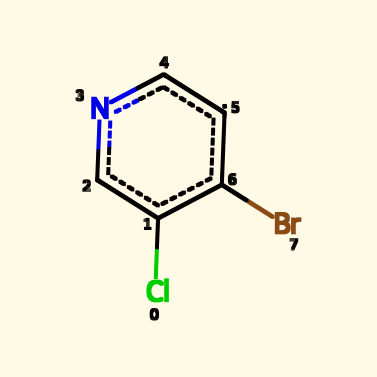 Clc1cnc[c]c1Br